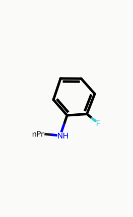 [CH2]CCNc1ccccc1F